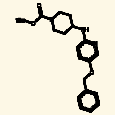 CC(C)(C)OC(=O)N1CCC(Nc2ccc(OCc3ccccc3)cn2)CC1